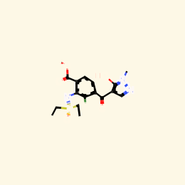 CCS(=O)(CC)=Nc1c(C(=O)OC)ccc(C(=O)c2cnn(C)c2O)c1Cl